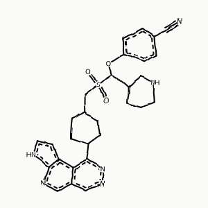 N#Cc1ccc(OC(C2CCCNC2)S(=O)(=O)CC2CCC(c3nncc4cnc5[nH]ccc5c34)CC2)cc1